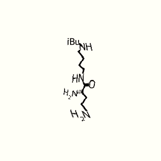 CCC(C)NCCCCNC(=O)[C@@H](N)CCCN